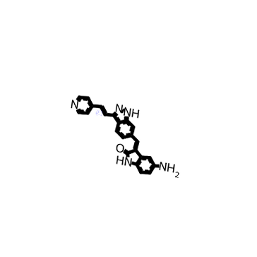 Nc1ccc2c(c1)C(=Cc1ccc3c(/C=C/c4ccncc4)n[nH]c3c1)C(=O)N2